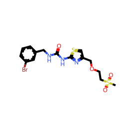 CS(=O)(=O)CCOCc1csc(NC(=O)NCc2cccc(Br)c2)n1